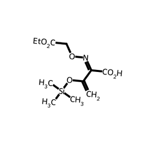 C=C(O[Si](C)(C)C)C(=NOCC(=O)OCC)C(=O)O